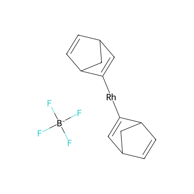 C1=CC2CC1C=[C]2[Rh][C]1=CC2C=CC1C2.F[B-](F)(F)F